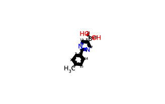 Cc1ccc(-c2ncc(B(O)O)cn2)cc1